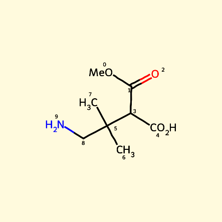 COC(=O)C(C(=O)O)C(C)(C)CN